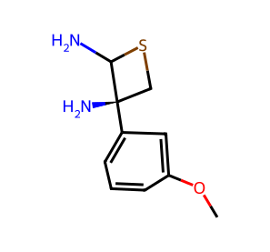 COc1cccc([C@@]2(N)CSC2N)c1